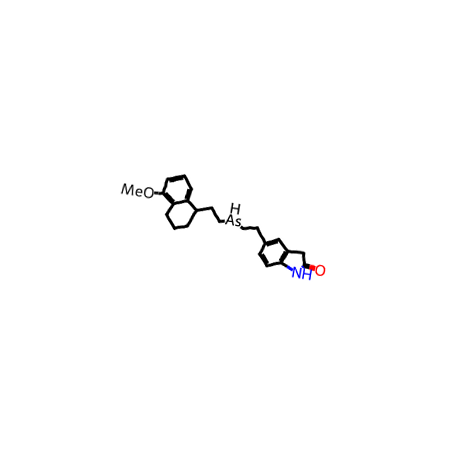 COc1cccc2c1CCCC2CC[AsH]CCc1ccc2c(c1)CC(=O)N2